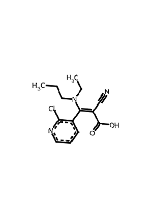 CCCN(CC)C(=C(C#N)C(=O)O)c1cccnc1Cl